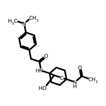 CC(=O)NC12CCC(NC(=O)Cc3ccc(N(C)C)cc3)(CC1)C(O)C2